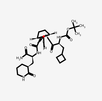 CC(C)(C)OC(=O)N[C@@H](CC1CCC1)C(=O)N1[C@H]2CC[C@@H]([C@@H]1C(=O)N[C@@H](C[C@@H]1CCCNC1=O)C(N)=O)C(F)(F)C2